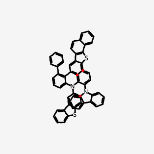 c1ccc(-c2cccc(N(c3ccc4sc5ccccc5c4c3)c3ccccc3-n3c4ccccc4c4ccccc43)c2-c2ccc3sc4c5ccccc5ccc4c3c2)cc1